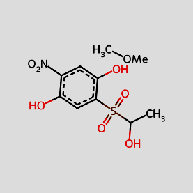 CC(O)S(=O)(=O)c1cc(O)c([N+](=O)[O-])cc1O.COC